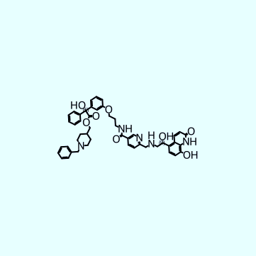 O=C(NCCCOc1cccc([C@](O)(C(=O)OCC2CCN(Cc3ccccc3)CC2)c2ccccc2)c1)c1ccc(CNC[C@H](O)c2ccc(O)c3[nH]c(=O)ccc23)nc1